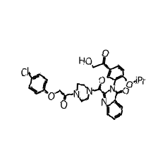 CC(C)Oc1ccc(C(=O)CO)cc1-n1c(C(=O)N2CCN(C(=O)COc3ccc(Cl)cc3)CC2)nc2ccccc2c1=O